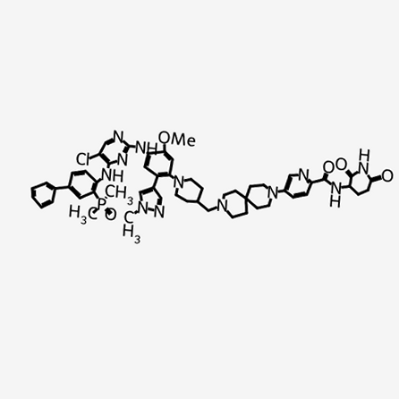 COc1cc(N2CCC(CN3CCC4(CC3)CCN(c3ccc(C(=O)NC5CCC(=O)NC5=O)nc3)CC4)CC2)c(-c2cnn(C)c2)cc1Nc1ncc(Cl)c(Nc2ccc(-c3ccccc3)cc2P(C)(C)=O)n1